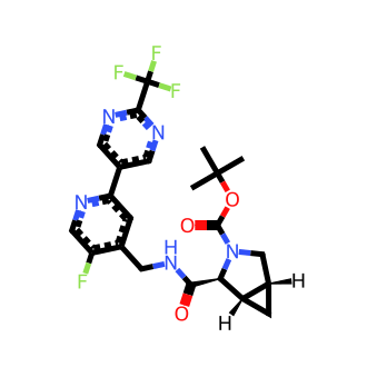 CC(C)(C)OC(=O)N1C[C@@H]2C[C@@H]2[C@H]1C(=O)NCc1cc(-c2cnc(C(F)(F)F)nc2)ncc1F